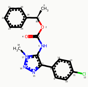 C[C@@H](OC(=O)Nc1c(-c2ccc(Cl)cc2)nnn1C)c1ccccc1